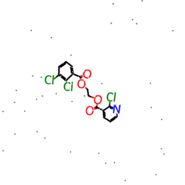 O=C(OCCOC(=O)c1cccc(Cl)c1Cl)c1cccnc1Cl